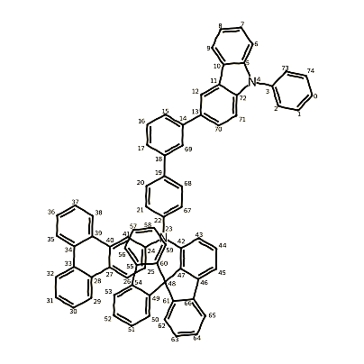 c1ccc(-n2c3ccccc3c3cc(-c4cccc(-c5ccc(N(c6ccc7c8ccccc8c8ccccc8c7c6)c6cccc7c6C6(c8ccccc8-c8ccccc86)c6ccccc6-7)cc5)c4)ccc32)cc1